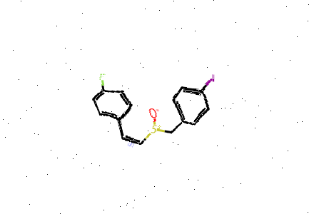 [O-][S+](/C=C\c1ccc(F)cc1)Cc1ccc(I)cc1